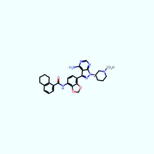 Nc1ncnc2c1c(-c1ccc(NC(=O)c3cccc4c3CCCC4)c3c1OCO3)nn2[C@@H]1CCCN(C(=O)O)C1